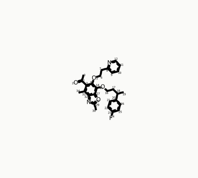 CC(=O)c1c(OCCc2ccccn2)c(OCCC(C)c2ccc(F)cc2)c2oc(C)nc2c1C